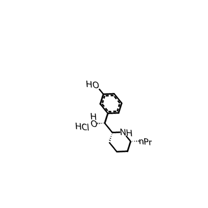 CCC[C@@H]1CCC[C@H]([C@H](O)c2cccc(O)c2)N1.Cl